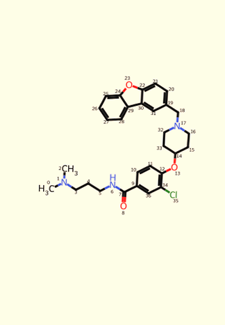 CN(C)CCCNC(=O)c1ccc(OC2CCN(Cc3ccc4oc5ccccc5c4c3)CC2)c(Cl)c1